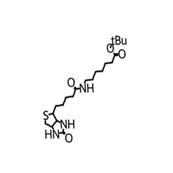 CC(C)(C)OC(=O)CCCCCCNC(=O)CCCCC1SCC2NC(=O)NC21